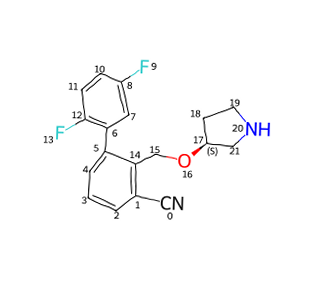 N#Cc1cccc(-c2cc(F)ccc2F)c1CO[C@H]1CCNC1